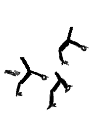 CC(=O)/C=C(/C)[O-].CC(=O)/C=C(/C)[O-].CC(=O)/C=C(/C)[O-].[Nb+3]